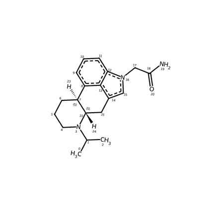 CC(C)N1CCC[C@H]2c3cccc4c3c(cn4CC(N)=O)C[C@@H]21